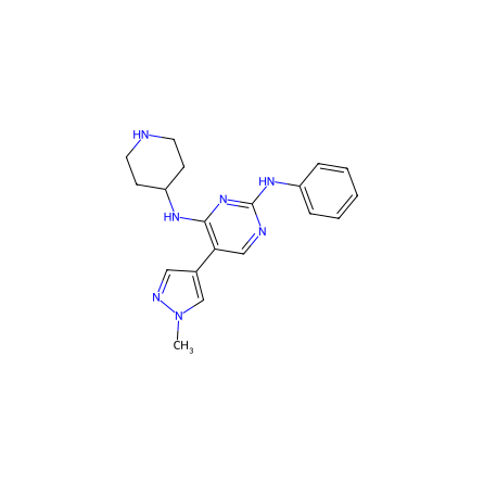 Cn1cc(-c2cnc(Nc3ccccc3)nc2NC2CCNCC2)cn1